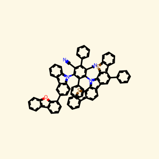 N#Cc1c(-c2ccccc2)c(C#N)c(-n2c3c(ccc4c5ccccc5sc43)c3cc(-c4ccccc4)c4c5ccccc5sc4c32)c(-c2ccccc2)c1-n1c2ccccc2c2cc(-c3cccc4c3oc3ccccc34)ccc21